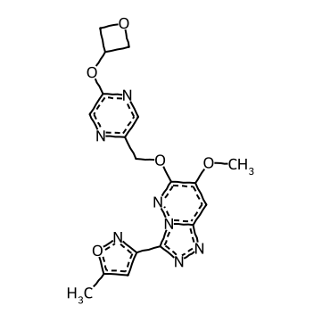 COc1cc2nnc(-c3cc(C)on3)n2nc1OCc1cnc(OC2COC2)cn1